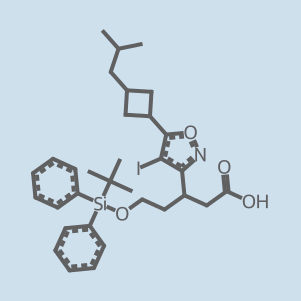 CC(C)CC1CC(c2onc(C(CCO[Si](c3ccccc3)(c3ccccc3)C(C)(C)C)CC(=O)O)c2I)C1